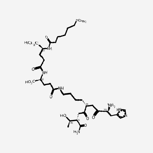 CCCCCCCCCCCCCCCC(=O)N[C@@H](CCC(=O)N[C@@H](CCC(=O)NCCCC[C@H](CC(=O)[C@@H](N)Cc1cnc[nH]1)C(=O)C[C@H](C(N)=O)[C@@H](C)O)C(=O)O)C(=O)O